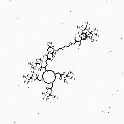 COc1cc(NC(=O)COCCOCCNC(=O)[C@H](CC(=O)O)NC(=O)CCC(C(=O)OC(C)(C)C)N2CCN(CC(=O)OC(C)(C)C)CCN(CC(=O)OC(C)(C)C)CCN(CC(=O)OC(C)(C)C)CC2)ncc1[Si](F)(C(C)(C)C)C(C)(C)C